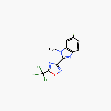 Cn1c(-c2noc(C(Cl)(Cl)Cl)n2)nc2ccc(F)cc21